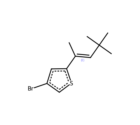 C/C(=C\C(C)(C)C)c1cc(Br)cs1